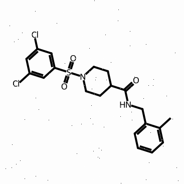 Cc1ccccc1CNC(=O)C1CCN(S(=O)(=O)c2cc(Cl)cc(Cl)c2)CC1